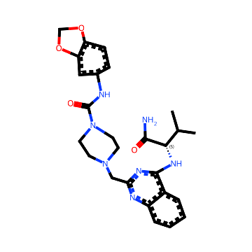 CC(C)[C@H](Nc1nc(CN2CCN(C(=O)Nc3ccc4c(c3)OCO4)CC2)nc2ccccc12)C(N)=O